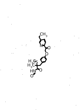 CCc1ccc(C(=O)COc2ccc(CC(C)(SC)C(=O)NC=O)cc2)nc1